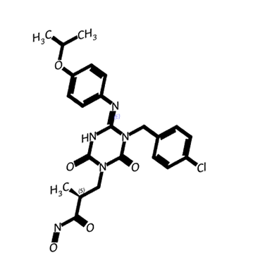 CC(C)Oc1ccc(/N=c2\[nH]c(=O)n(C[C@H](C)C(=O)N=O)c(=O)n2Cc2ccc(Cl)cc2)cc1